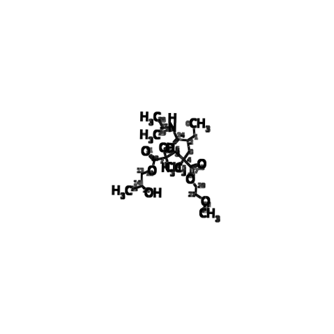 CCC(CC(C)(CC(C)(C)C(=O)OCC(C)O)C(=O)OCCOC)C(=O)NC(C)C